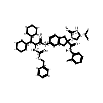 Cc1ccccc1NC(=O)C1(N2C[C@@H](C(C)C)NC2=O)Cc2ccc(NC(=O)[C@@H](NC(=O)OCc3ccccc3)C(C3CCCCC3)C3CCCCC3)cc2C1